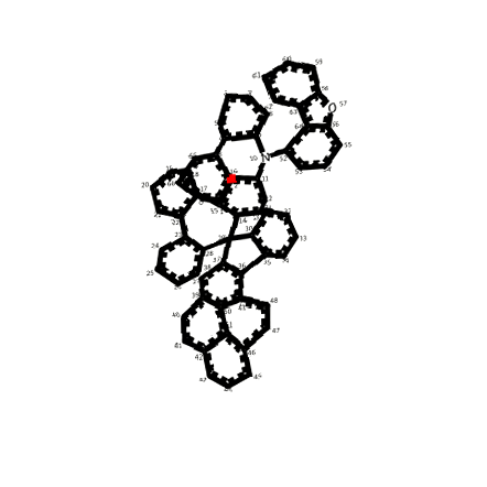 c1ccc(-c2ccccc2N(c2ccc3c(c2)-c2ccccc2-c2ccccc2C32c3ccccc3-c3c2cc2ccc4cccc5ccc3c2c45)c2cccc3oc4ccccc4c23)cc1